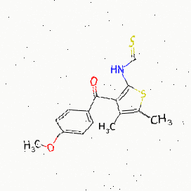 COc1ccc(C(=O)c2c(NC=S)sc(C)c2C)cc1